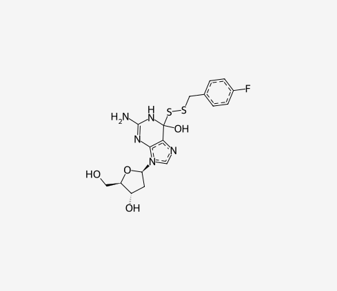 NC1=Nc2c(ncn2[C@H]2C[C@H](O)[C@@H](CO)O2)C(O)(SSCc2ccc(F)cc2)N1